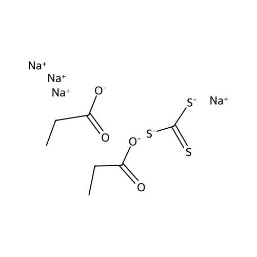 CCC(=O)[O-].CCC(=O)[O-].S=C([S-])[S-].[Na+].[Na+].[Na+].[Na+]